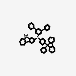 C[Si]1(C)c2ccccc2-c2ccc(N(c3ccc(C4(c5ccccc5)c5ccccc5-c5ccccc54)cc3)c3cc(-c4ccccc4)cc(-c4ccccc4)c3)cc21